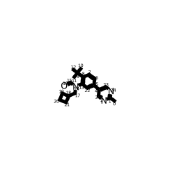 Cc1ncc(-c2ccc(C(C)(C)C)c(N(C=O)CC3CCC3)c2)cn1